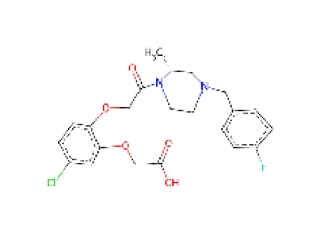 C[C@@H]1CN(Cc2ccc(F)cc2)CCN1C(=O)COc1ccc(Cl)cc1OCC(=O)O